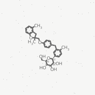 Cc1ccc([C@@H]2O[C@H](CO)[C@@H](O)[C@H](O)[C@H]2O)cc1Cc1ccc(OCC2(C)Cc3c(C)cccc3O2)cc1